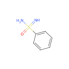 N=S(N)(=O)c1ccccc1